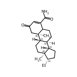 CC[C@H]1CC[C@H]2[C@@H]3CCC4C(C(N)=O)=CC(=O)C[C@]4(C)[C@H]3CC[C@]12C